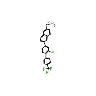 CCc1ccc2cc(-c3ccc(-c4ccc(C(F)(F)F)cc4)c(F)c3)ccc2c1